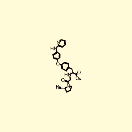 COC(=O)[C@H](Cc1ccc(Oc2ccc(Nc3ccccn3)cc2)cc1)NCC(=O)N1CCC[C@H]1C#N